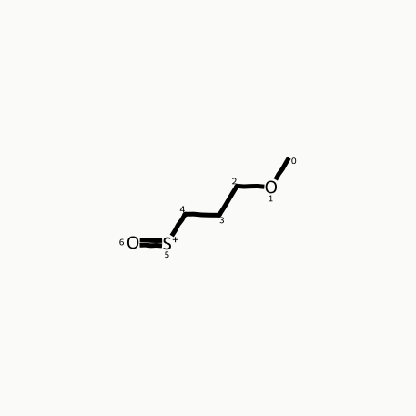 COCCC[S+]=O